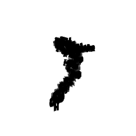 COc1cc(C(=O)NN2CCN(C(=O)CCC3CCN(c4ccc(C5CCC(=O)NC5=O)cc4F)CC3)CC2)ccc1Nc1ncc2c(n1)N(C(C)C)CC(F)(F)C(=O)N2C